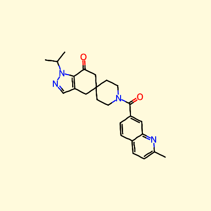 Cc1ccc2ccc(C(=O)N3CCC4(CC3)CC(=O)c3c(cnn3C(C)C)C4)cc2n1